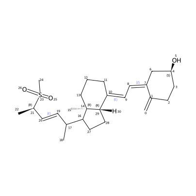 C=C1CC[C@H](O)C/C1=C/C=C1\CCC[C@]2(C)C(C(C)/C=C/[C@@H](C)S(C)(=O)=O)CC[C@@H]12